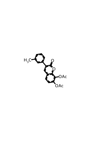 CC(=O)Oc1ccc2cc(-c3cccc(C)c3)c(=O)oc2c1OC(C)=O